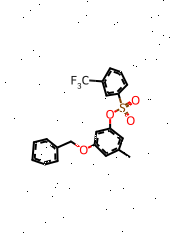 Cc1cc(OCc2ccccc2)cc(OS(=O)(=O)c2cccc(C(F)(F)F)c2)c1